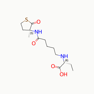 CC[C@@H](NCCCCC(=O)N[C@@]1(C)CCSC1=O)C(=O)O